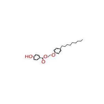 CCCCCCCCCc1ccc(OCCOC(=O)c2ccc(O)cc2)cc1